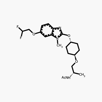 CC(=O)N[C@@H](C)CO[C@H]1CC[C@H](Oc2nc3ccc(OCC(F)F)cc3n2C)CC1